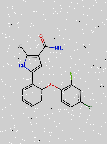 Cc1[nH]c(-c2ccccc2Oc2ccc(Cl)cc2F)cc1C(N)=O